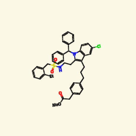 CCc1ccccc1CS(=O)(=O)NCCc1c(CCCc2ccc(CC(=O)OC)cc2)c2cc(Cl)ccc2n1C(c1ccccc1)c1ccccc1